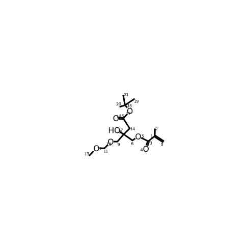 C=C(C)C(=O)OCC(O)(COCOC)CC(=O)OC(C)(C)C